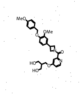 COc1ccc(COc2ccc(C3CN(C(=O)c4cc(OCC(CO)CO)ccn4)C3)cc2OC)cc1